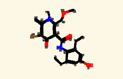 CCc1cc(O)cc(CC)c1NC(=O)c1c(COC)n(C)c(C)c(Br)c1=O